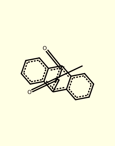 O=c1oc(=O)c2c3ccccc3c1c1ccccc12